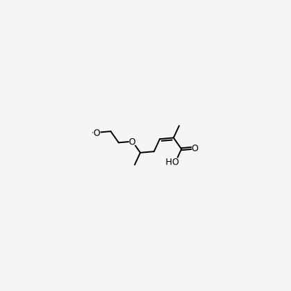 CC(=CCC(C)OCC[O])C(=O)O